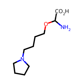 NC(OCCCCN1CCCC1)C(=O)O